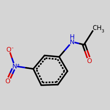 CC(=O)Nc1cccc([N+](=O)[O-])c1